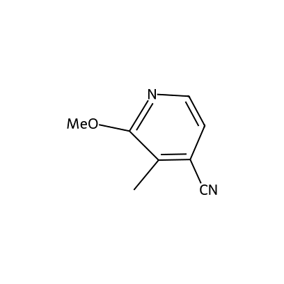 COc1nccc(C#N)c1C